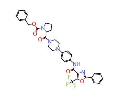 O=C(Nc1ccc(N2CCN(C(=O)[C@H]3CCCN3C(=O)OCc3ccccc3)CC2)cc1)c1nc(-c2ccccc2)oc1C(F)(F)F